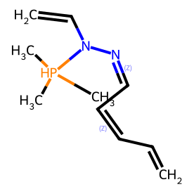 C=C/C=C\C=N/N(C=C)[PH](C)(C)C